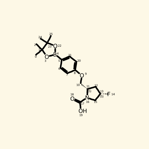 CC1(C)OB(c2ccc(OC[C@@H]3C[C@H](F)CN3C(=O)O)cc2)OC1(C)C